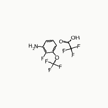 Nc1cccc(OC(F)(F)F)c1F.O=C(O)C(F)(F)F